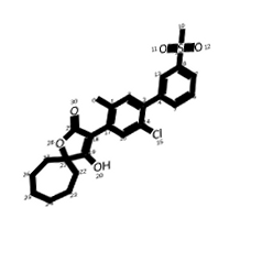 Cc1cc(-c2cccc(S(C)(=O)=O)c2)c(Cl)cc1C1=C(O)C2(CCCCCC2)OC1=O